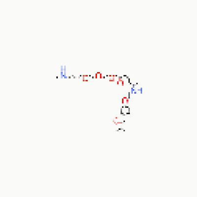 CC(C)NCCCCOCCOCCOCC(=O)C(C)CCC(C)NCCOc1ccc(CC(=O)C(C)C)cc1